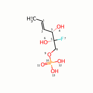 CC=C[C@H](O)[C@@](O)(F)COP(=O)(O)O